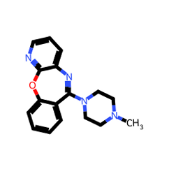 CN1CCN(C2=Nc3cccnc3Oc3ccccc32)CC1